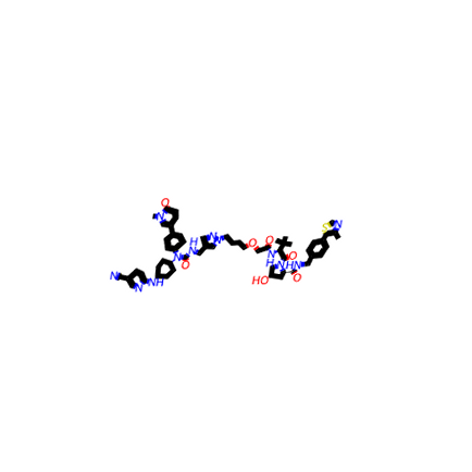 Cc1ncsc1-c1ccc(CNC(=O)[C@@H]2C[C@@H](O)CN2C(=O)[C@@H](NC(=O)COCCCCn2cc(CNC(=O)N(c3ccc(-c4ccc(=O)n(C)c4)cc3)[C@H]3CC[C@H](Nc4ccc(C#N)cn4)CC3)cn2)C(C)(C)C)cc1